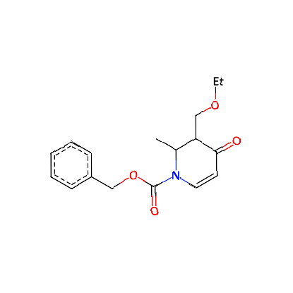 CCOCC1C(=O)C=CN(C(=O)OCc2ccccc2)C1C